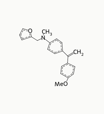 C=C(c1ccc(OC)cc1)c1ccc(N(C)Cc2ccco2)cc1